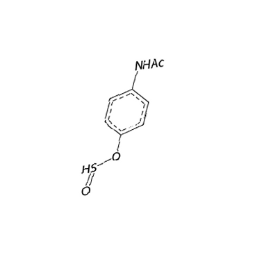 CC(=O)Nc1ccc(O[SH]=O)cc1